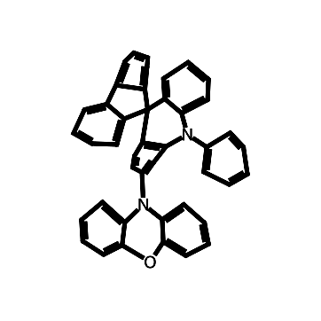 c1ccc(N2c3ccccc3C3(c4ccccc4-c4ccccc43)c3ccc(N4c5ccccc5Oc5ccccc54)cc32)cc1